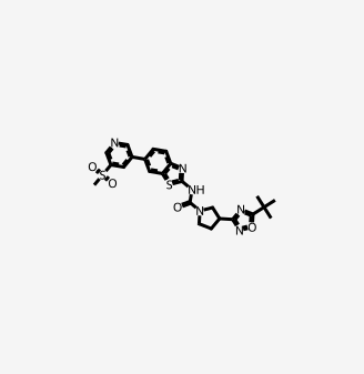 CC(C)(C)c1nc(C2CCN(C(=O)Nc3nc4ccc(-c5cncc(S(C)(=O)=O)c5)cc4s3)C2)no1